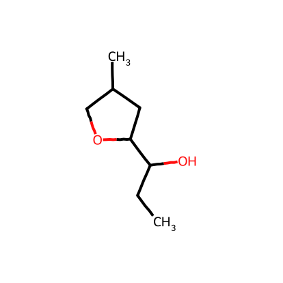 CCC(O)C1CC(C)CO1